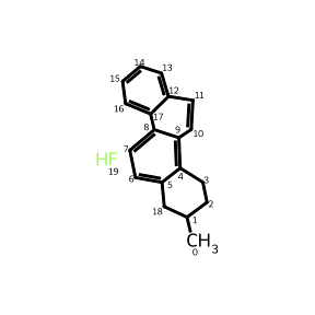 CC1CCc2c(ccc3c2ccc2ccccc23)C1.F